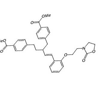 COC(=O)c1ccc(CCC(C=Cc2ccccc2OCCN2CCOC2=O)Cc2ccc(C(=O)OC)cc2)cc1